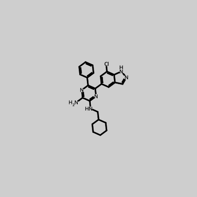 Nc1nc(-c2ccccc2)c(-c2cc(Cl)c3[nH]ncc3c2)nc1NCC1CCCCC1